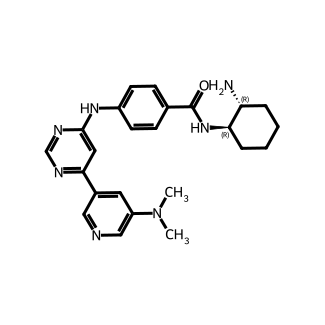 CN(C)c1cncc(-c2cc(Nc3ccc(C(=O)N[C@@H]4CCCC[C@H]4N)cc3)ncn2)c1